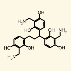 NCc1c(O)ccc(CCC(c2ccc(O)c(CN)c2O)c2ccc(O)c(CN)c2O)c1O